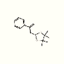 C=C(CB1OC(C)(C)C(C)(C)O1)c1ccccc1